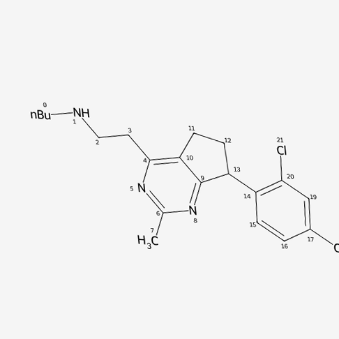 CCCCNCCc1nc(C)nc2c1CCC2c1ccc(Cl)cc1Cl